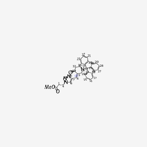 COC(=O)CCn1cc(/C=C2/CN(C(c3ccccc3)(c3ccccc3)c3ccccc3)CCC2=O)nn1